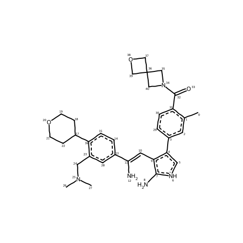 Cc1cc(-c2c[nH]c(N)c2/C=C(\N)c2ccc(C3CCOCC3)c(CN(C)C)c2)ccc1C(=O)N1CC2(COC2)C1